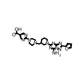 Nc1nc(N2CCCC(CN3CCN(c4ncc(C(=O)O)cn4)CC3)C2)nc2nc(-c3ccco3)nn12